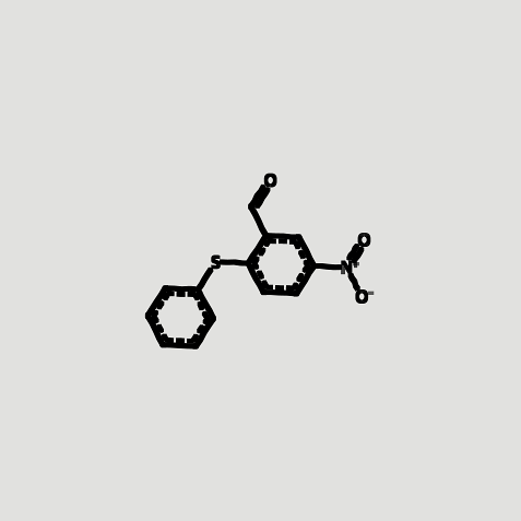 O=Cc1cc([N+](=O)[O-])ccc1Sc1ccccc1